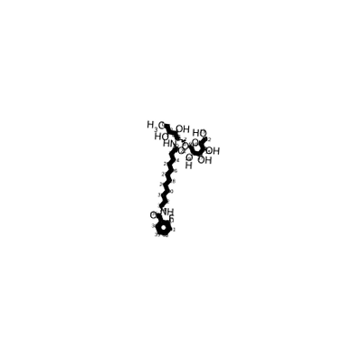 CC[C@@H](O)[C@@H](O)[C@H](CO[C@H]1OC(CO)[C@H](O)C(O)C1O)NC(=O)CCCCCCCCCCCNC(=O)c1ccccc1F